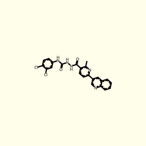 Cc1nc(-c2cnc3ccccc3c2)ccc1C(=O)NNC(=O)Nc1ccc(Cl)c(Cl)c1